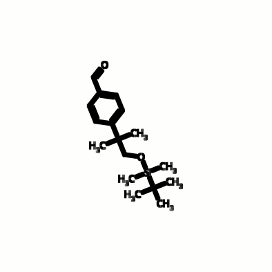 CC(C)(CO[Si](C)(C)C(C)(C)C)c1ccc(C=O)cc1